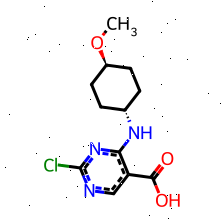 CO[C@H]1CC[C@H](Nc2nc(Cl)ncc2C(=O)O)CC1